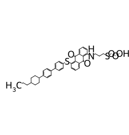 CCCC1CCC(c2ccc(-c3ccc(Sc4cccc5c4C(=O)c4cccc(NCCCSOOO)c4C5=O)cc3)cc2)CC1